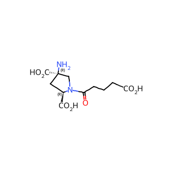 N[C@]1(C(=O)O)C[C@H](C(=O)O)N(C(=O)CCCC(=O)O)C1